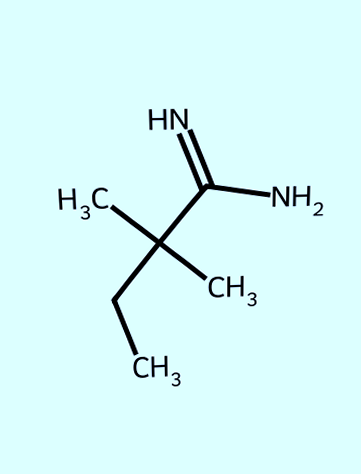 CCC(C)(C)C(=N)N